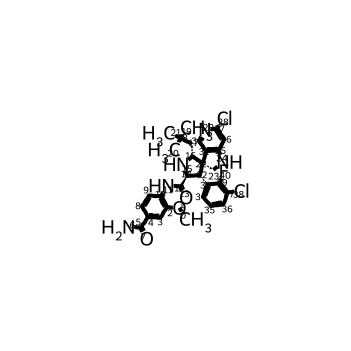 COc1cc(C(N)=O)ccc1NC(=O)[C@H]1N[C@H](CC(C)(C)C)[C@]2(CNc3cc(Cl)ncc32)[C@@H]1c1cccc(Cl)c1F